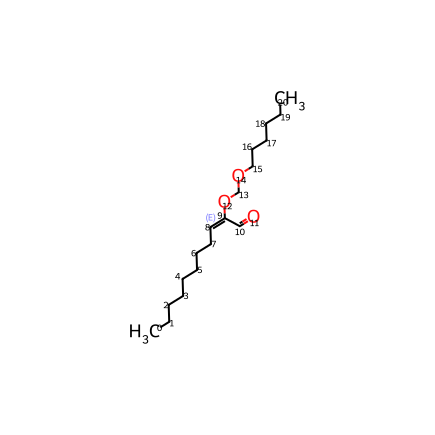 CCCCCCCC/C=C(\C=O)OCOCCCCCC